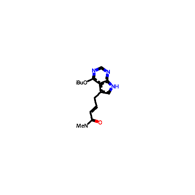 CNC(=O)C=CCc1c[nH]c2ncnc(OCC(C)C)c12